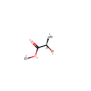 CCC[C@@H](Br)C(=O)OCC